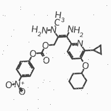 CN(N)/C(COC(=O)Oc1ccc([N+](=O)[O-])cc1)=C(\N)c1ccc(OC2CCCCC2)c(C2CC2)n1